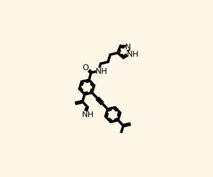 C=C(C)c1ccc(C#Cc2cc(C(=O)NCCCc3cn[nH]c3)ccc2C(=C)C=N)cc1